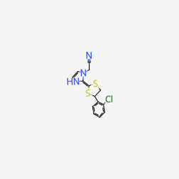 N#CCN1C=CNC1=C1SCC(c2ccccc2Cl)S1